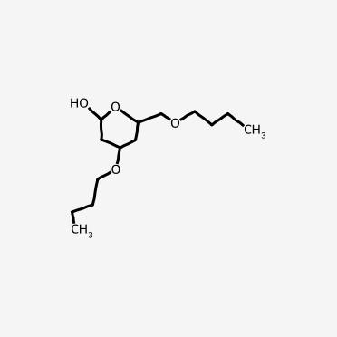 CCCCOCC1CC(OCCCC)CC(O)O1